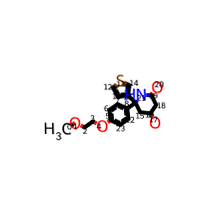 COCCOc1ccc(C2(c3ccsc3)CC(=O)CC(=O)N2)cc1